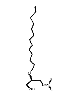 CCCCCCCCCCCCOC(CO)CO[SH](=O)=O